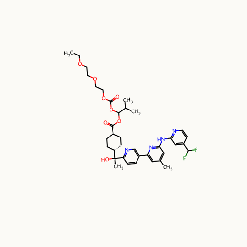 CCOCCOCCOC(=O)OC(OC(=O)[C@H]1CC[C@H]([C@@](C)(O)c2ccc(-c3cc(C)cc(Nc4cc(C(F)F)ccn4)n3)cn2)CC1)C(C)C